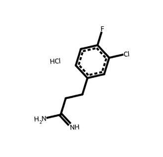 Cl.N=C(N)CCc1ccc(F)c(Cl)c1